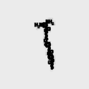 CCCCC(=O)Oc1ccc(OC(=O)C=Cc2ccc(OCCCCCOC(=O)c3cc(N)cc(N)c3)cc2)cc1